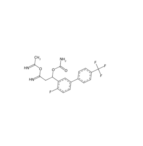 CC(=N)OC(=N)CC(OC(N)=O)c1cc(-c2ccc(C(F)(F)F)cc2)ccc1F